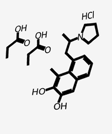 CCC(=O)O.CCC(=O)O.Cc1c(O)c(O)cc2cccc(CC(C)N3CCCC3)c12.Cl